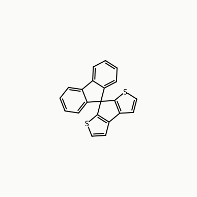 c1ccc2c(c1)-c1ccccc1C21c2sccc2-c2ccsc21